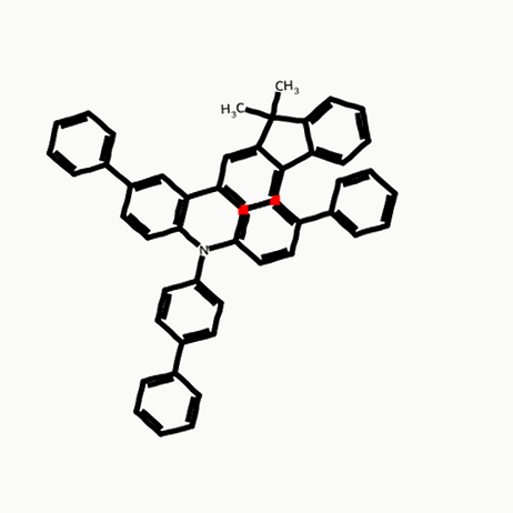 CC1(C)c2ccccc2-c2ccc(-c3cc(-c4ccccc4)ccc3N(c3ccc(-c4ccccc4)cc3)c3ccc(-c4ccccc4)cc3)cc21